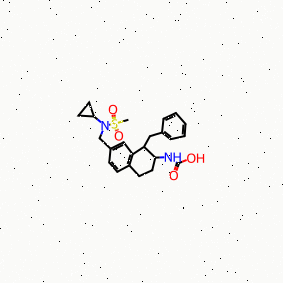 CS(=O)(=O)N(Cc1ccc2c(c1)C(Cc1ccccc1)C(NC(=O)O)CC2)C1CC1